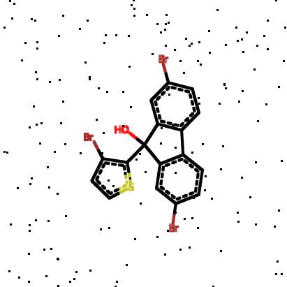 OC1(c2sccc2Br)c2cc(Br)ccc2-c2ccc(Br)cc21